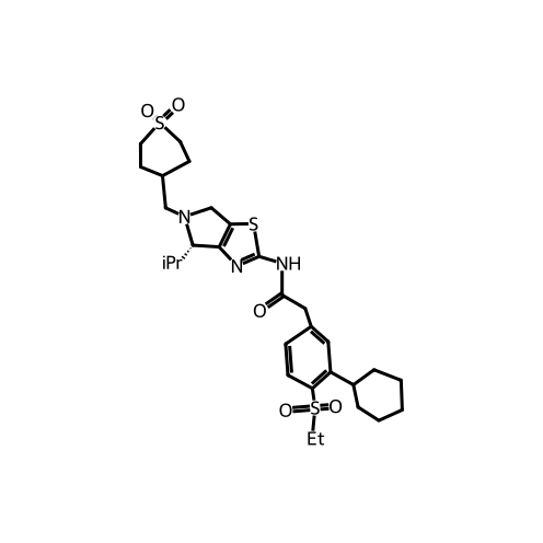 CCS(=O)(=O)c1ccc(CC(=O)Nc2nc3c(s2)CN(CC2CCS(=O)(=O)CC2)[C@H]3C(C)C)cc1C1CCCCC1